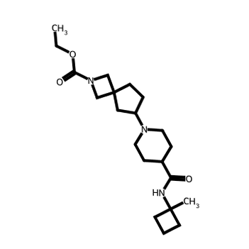 CCOC(=O)N1CC2(CCC(N3CCC(C(=O)NC4(C)CCC4)CC3)C2)C1